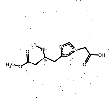 COC(=O)C[C@H](Cc1cn(CC(=O)O)cn1)NP